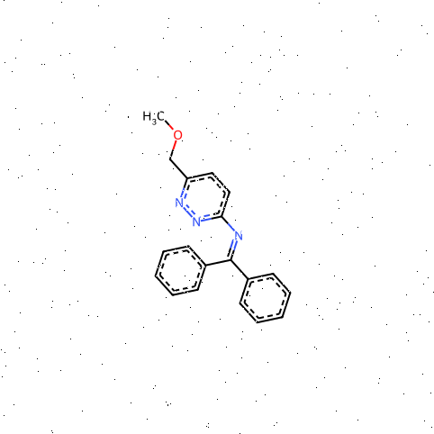 COCc1ccc(N=C(c2ccccc2)c2ccccc2)nn1